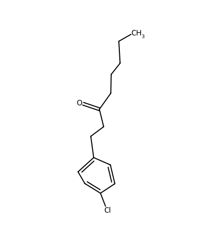 CCCCCC(=O)CCc1ccc(Cl)cc1